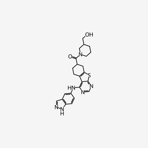 O=C(C1CCc2c(sc3ncnc(Nc4ccc5[nH]ncc5c4)c23)C1)N1CCCC(CO)C1